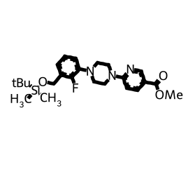 COC(=O)c1ccc(N2CCN(c3cccc(CO[Si](C)(C)C(C)(C)C)c3F)CC2)nc1